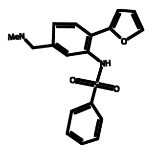 CNCc1ccc(-c2ccco2)c(NS(=O)(=O)c2ccccc2)c1